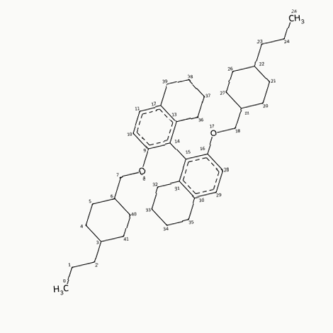 CCCC1CCC(COc2ccc3c(c2-c2c(OCC4CCC(CCC)CC4)ccc4c2CCCC4)CCCC3)CC1